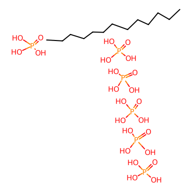 CCCCCCCCCCCCC.O=P(O)(O)O.O=P(O)(O)O.O=P(O)(O)O.O=P(O)(O)O.O=P(O)(O)O.O=P(O)(O)O